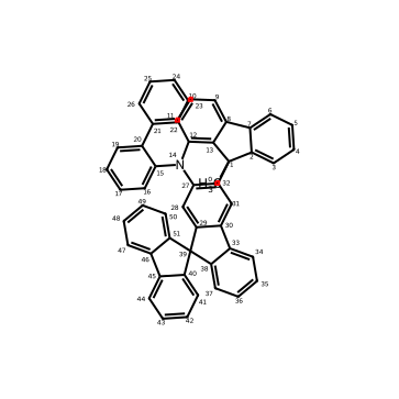 CC12c3ccccc3-c3cccc(c31)N(c1ccccc1-c1ccccc1)c1cc3c(cc12)-c1ccccc1C31c2ccccc2-c2ccccc21